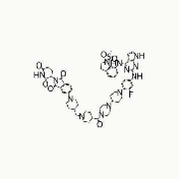 CS(=O)(=O)N1CCc2cccc(Nc3nc(Nc4ccc(N5CCC(N6CCN(C(=O)C7CCN(CC8CCN(c9ccc%10c(c9)C(=O)N(C9CCC(=O)NC9=O)C%10=O)CC8)CC7)CC6)CC5)c(F)c4)nc4[nH]ccc34)c21